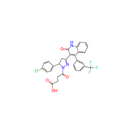 O=C(O)CCC(=O)N1N=C(c2c(-c3cccc(C(F)(F)F)c3)c3ccccc3[nH]c2=O)CC1c1ccc(Cl)cc1